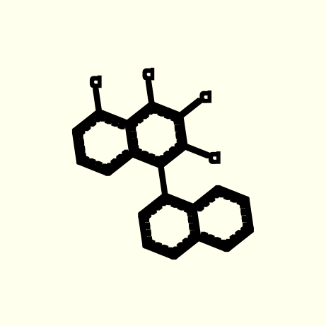 Clc1c(Cl)c(Cl)c2c(Cl)cccc2c1-c1cccc2ccccc12